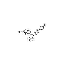 CC(=O)Nc1cccc(C(C)N(Cc2ccccc2)Cc2nc(-c3ccc(Cl)cc3)no2)c1